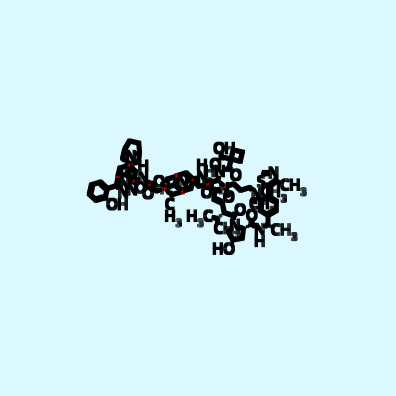 Cc1ncsc1-c1ccc([C@H](C)NC(=O)[C@@H]2C[C@@H](O)CN2C(=O)[C@@H](c2cc(OCCN3CCN(CCOc4cc(N5C6CCC5CN(c5cc(-c7ccccc7O)nnc5NC(=O)OCc5ccc(NC(=O)[C@H](CCCCN(C)C)NC(=O)C7(C(=O)O)CCC7)cc5)C6)ccn4)[C@H](C)C3)no2)C(C)C)cc1